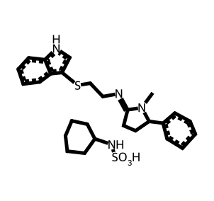 CN1C(=NCCSc2c[nH]c3ccccc23)CCC1c1ccccc1.O=S(=O)(O)NC1CCCCC1